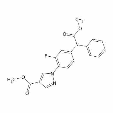 COC(=O)c1cnn(-c2ccc(N(C(=O)OC)c3ccccc3)cc2F)c1